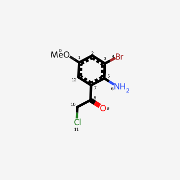 COc1cc(Br)c(N)c(C(=O)CCl)c1